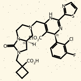 CCOC(=O)C1=C(CN2CCN3C(=O)N(CC4(C(=O)O)CCC4)C[C@@H]3C2)NC(c2nccs2)=N[C@H]1c1cccc(F)c1Cl